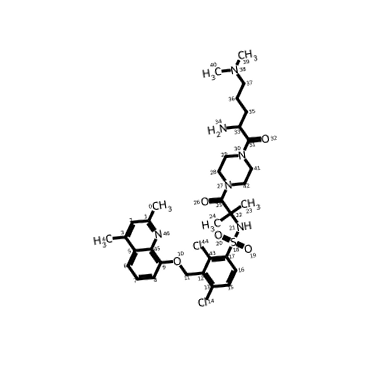 Cc1cc(C)c2cccc(OCc3c(Cl)ccc(S(=O)(=O)NC(C)(C)C(=O)N4CCN(C(=O)C(N)CCCN(C)C)CC4)c3Cl)c2n1